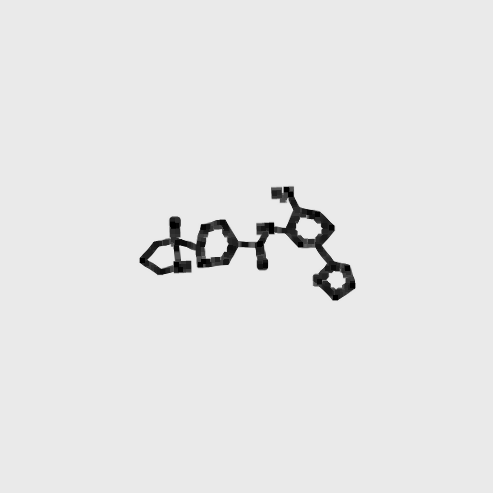 Nc1ccc(-c2cccs2)cc1NC(=O)c1ccc([SH]2(=O)CCCN2)cc1